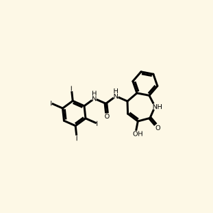 O=C(Nc1c(I)c(I)cc(I)c1I)NC1C=C(O)C(=O)Nc2ccccc21